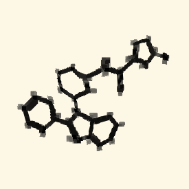 O=C(NC1CCCC(n2c(-c3ccccn3)nc3ccccc32)C1)c1ccc(Br)s1